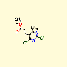 CCOC(=O)CCc1c(C)nc(Cl)nc1Cl